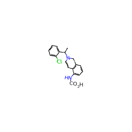 CC(c1ccccc1Cl)N1C=Cc2c(cccc2NC(=O)O)C1